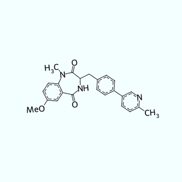 COc1ccc2c(c1)C(=O)NC(Cc1ccc(-c3ccc(C)nc3)cc1)C(=O)N2C